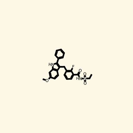 CCS(=O)(=O)NC(=O)c1cccc(Cc2c(-c3ccccc3)[nH]c3cc(OC)ccc23)c1F